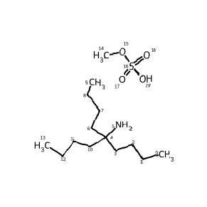 CCCCC(N)(CCCC)CCCC.COS(=O)(=O)O